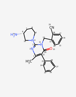 Cc1nc(N2CCC[C@@H](N)C2)n(Cc2ccccc2C#N)c(=O)c1-c1ccccc1